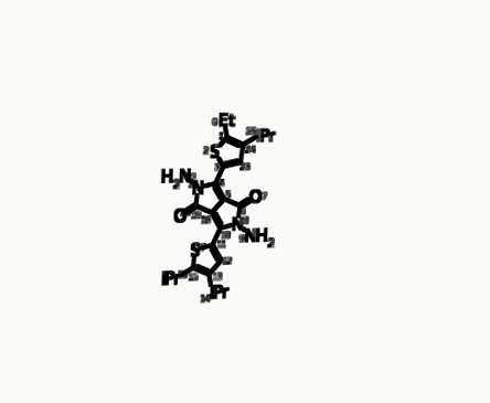 CCc1sc(C2=C3C(=O)N(N)C(c4cc(C(C)C)c(C(C)C)s4)=C3C(=O)N2N)cc1C(C)C